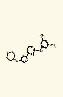 Cc1cc(C)cc(Nc2nccc(-c3ncc(CN4CCOCC4)s3)n2)c1